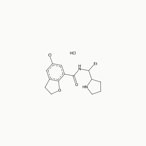 CCC(NC(=O)c1cc(Cl)cc2c1OCC2)C1CCCN1.Cl